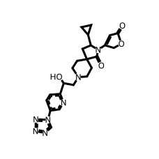 O=C1C=C(N2C(=O)C3(CCN(CC(O)c4ccc(-n5cnnn5)cn4)CC3)CC2C2CC2)CO1